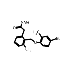 CCc1ccc(OCc2c(CC(=O)NC)cccc2C(F)(F)F)c(C)c1